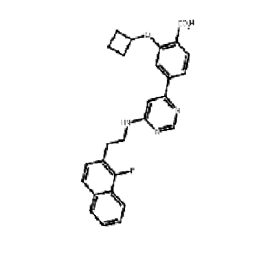 O=C(O)c1ccc(-c2cc(NCCc3ccc4ccccc4c3F)ncn2)cc1OC1CCC1